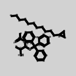 CC(=S)NC(OC(c1ccccc1)(c1ccccc1)c1ccccc1)C(C)S.CCCCCCCCCCCC1CC1